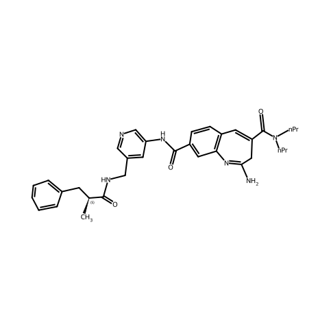 CCCN(CCC)C(=O)C1=Cc2ccc(C(=O)Nc3cncc(CNC(=O)[C@@H](C)Cc4ccccc4)c3)cc2N=C(N)C1